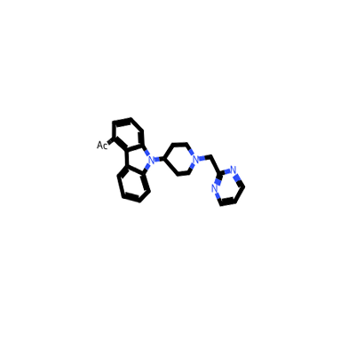 CC(=O)c1cccc2c1c1ccccc1n2C1CCN(Cc2ncccn2)CC1